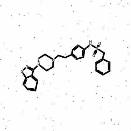 O=S(=O)(Cc1ccccc1)Nc1ccc(CCN2CCN(c3nsc4ccccc34)CC2)cc1